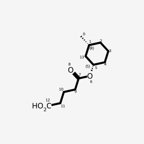 C[C@@H]1CCC[C@H](OC(=O)CCCC(=O)O)C1